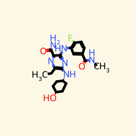 CCc1nc(C(N)=O)c(Nc2cc(C(=O)NC)ccc2F)nc1N[C@H]1CC[C@H](O)CC1